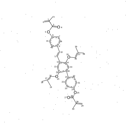 C=C(C)C(=O)Oc1ccc(/C=C/c2cc(OC=C(C)C)c(-c3ccc(OC(=O)C(=C)C)cc3)cc2OC=C(C)C)cc1